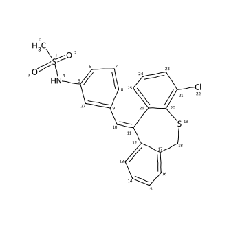 CS(=O)(=O)Nc1cccc(C=C2c3ccccc3CSc3c(Cl)cccc32)c1